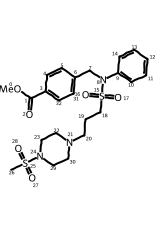 COC(=O)c1ccc(CN(c2ccccc2)S(=O)(=O)CCCN2CCN(S(C)(=O)=O)CC2)cc1